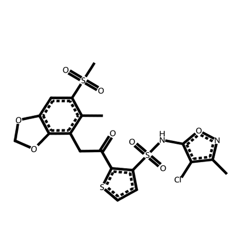 Cc1noc(NS(=O)(=O)c2ccsc2C(=O)Cc2c(C)c(S(C)(=O)=O)cc3c2OCO3)c1Cl